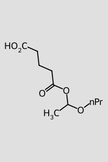 CCCOC(C)OC(=O)CCCC(=O)O